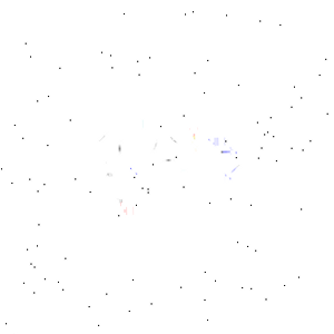 CC1([C@H]2C[C@@H](O)CCN2Cc2cc(F)c(S(=O)(=O)Nc3ncns3)cc2F)C=CC=CC1